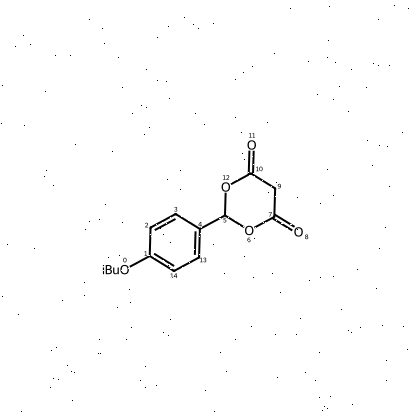 CC(C)COc1ccc(C2OC(=O)CC(=O)O2)cc1